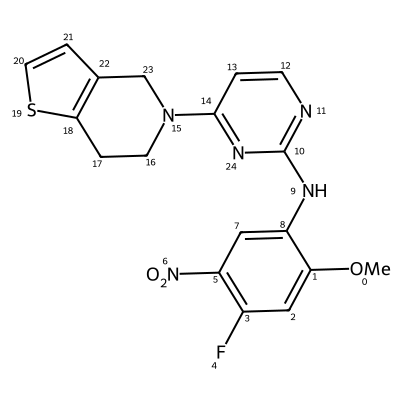 COc1cc(F)c([N+](=O)[O-])cc1Nc1nccc(N2CCc3sccc3C2)n1